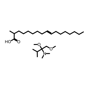 CCCCCCCC=CCCCCCCC(C)C(=O)O.COCC(OC)(C(C)C)N(C)C